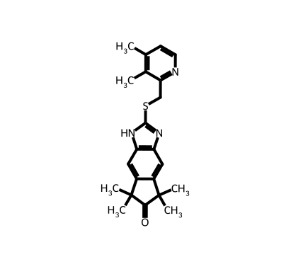 Cc1ccnc(CSc2nc3cc4c(cc3[nH]2)C(C)(C)C(=O)C4(C)C)c1C